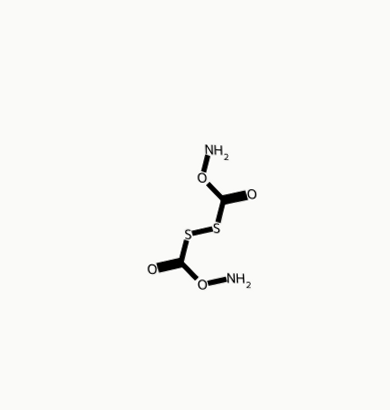 NOC(=O)SSC(=O)ON